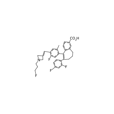 Cc1cc(C=C2CN(CCCF)C2)c(F)cc1C1=C(c2ccc(F)cc2F)CCCc2cc(C(=O)O)ccc21